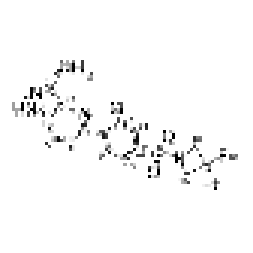 Nc1n[nH]c2ccc(-c3ccc(S(=O)(=O)N4CC(F)(F)C4)cc3Cl)nc12